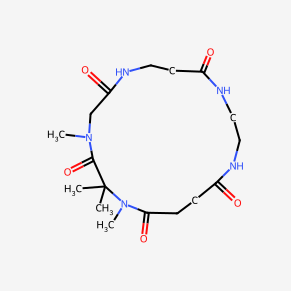 CN1CC(=O)NCCC(=O)NCCNC(=O)CCC(=O)N(C)C(C)(C)C1=O